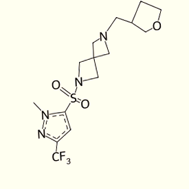 Cn1nc(C(F)(F)F)cc1S(=O)(=O)N1CC2(CN(CC3CCOC3)C2)C1